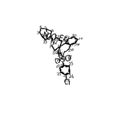 CCOC(=O)N1C2CCC1CC(N1CCC3(CC1)CN(S(=O)(=O)c1ccc(Cl)cc1)Cc1ccccc13)C2